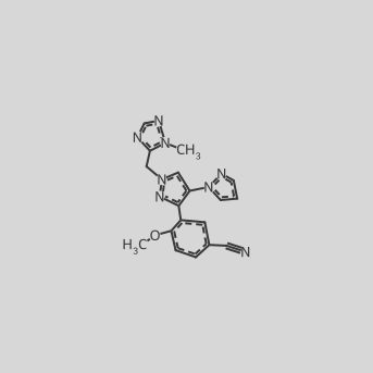 COc1ccc(C#N)cc1-c1nn(Cc2ncnn2C)cc1-n1cccn1